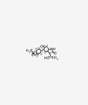 C/C(O)=C1\C(=O)Nc2cc(Cl)c(-c3ccc(N(C)C)nc3)cc21